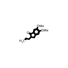 C=CCC1Cc2cc(OC)c(OC)cc2C1=O